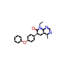 CCn1c(=O)c(-c2ccc(Oc3ccccc3)cc2)cc2c(C)ncnc21